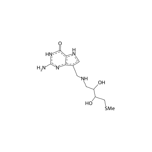 CSCC(O)C(O)CNCc1c[nH]c2c(=O)[nH]c(N)nc12